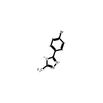 FC(F)(F)c1nnc(-c2ccc(Br)cc2)o1